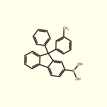 Cc1cccc(C2(c3ccccc3)c3ccccc3-c3ccc(B(O)O)cc32)c1